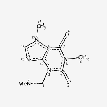 CNCn1c(=O)n(C)c(=O)c2c1ncn2C